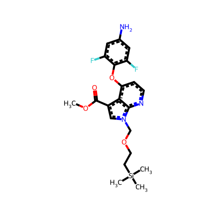 COC(=O)c1cn(COCC[Si](C)(C)C)c2nccc(Oc3c(F)cc(N)cc3F)c12